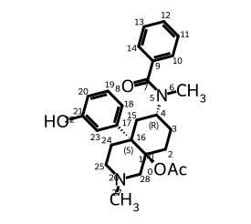 CC(=O)O[C@]12CC[C@@H](N(C)C(=O)c3ccccc3)C[C@]1(c1cccc(O)c1)CCN(C)C2